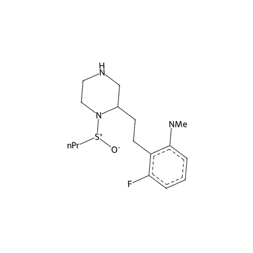 CCC[S+]([O-])N1CCNCC1CCc1c(F)cccc1NC